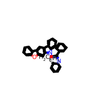 C=C=C1C=CC=C/C1=N/C(=C(\C)n1c2ccccc2c2cc3c(cc21)oc1ccccc13)c1ccccc1